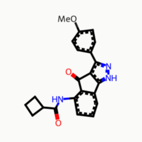 COc1ccc(-c2n[nH]c3c2C(=O)c2c(NC(=O)C4CCC4)cccc2-3)cc1